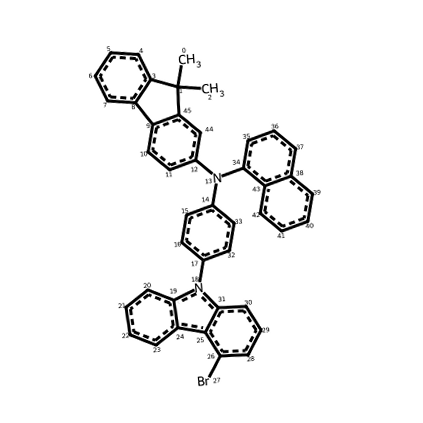 CC1(C)c2ccccc2-c2ccc(N(c3ccc(-n4c5ccccc5c5c(Br)cccc54)cc3)c3cccc4ccccc34)cc21